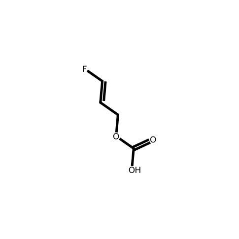 O=C(O)OCC=CF